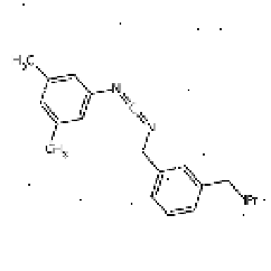 Cc1cc(C)cc(N=C=NCc2cccc(CC(C)C)c2)c1